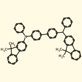 CC1(C)c2ccccc2-c2ccc(C(c3ccccc3)c3ccc(-c4ccc(N(c5ccccc5)c5ccc6c(c5)C(C)(C)c5ccccc5-6)cc4)cc3)cc21